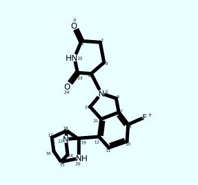 O=C1CCC(N2Cc3c(F)ccc(N4CC5CCC4CN5)c3C2)C(=O)N1